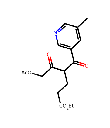 CCOC(=O)CCC(C(=O)COC(C)=O)C(=O)c1cncc(C)c1